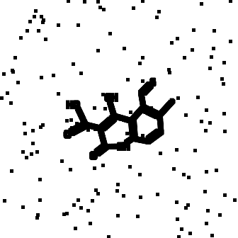 Cc1ccc2[nH]c(=O)c(C(=O)O)c(O)c2c1C=S